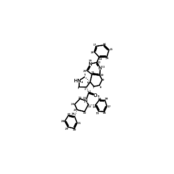 O=C([C@@H]1CNC[C@]12CCCc1nc(-c3ccccc3)ncc12)N1CC[C@@H](c2ccccc2)C[C@H]1c1ccccc1